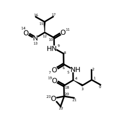 CC(C)C[C@H](NC(=O)CNC(=O)[C@@H](N=O)C(C)C)C(=O)C1(C)CO1